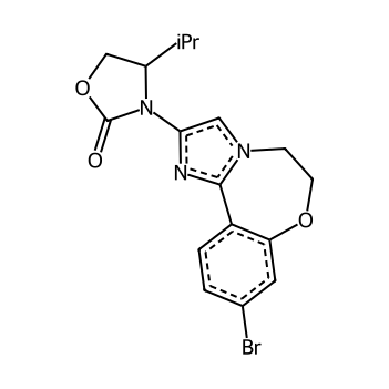 CC(C)C1COC(=O)N1c1cn2c(n1)-c1ccc(Br)cc1OCC2